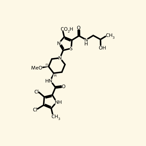 CO[C@H]1CN(c2nc(C(=O)O)c(C(=O)NCC(C)O)s2)CC[C@H]1NC(=O)c1[nH]c(C)c(Cl)c1Cl